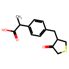 CC(C(=O)O)c1ccc(CC2CSCC2=O)cc1